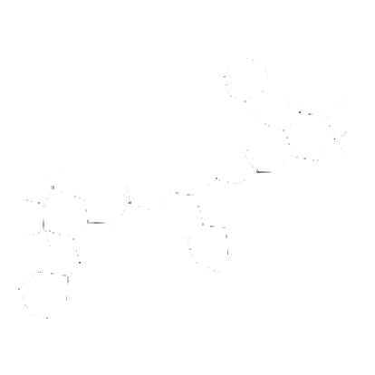 CN1C(C)(C)CC(OC(=O)CCN(CCC(=O)OC2CC(C)(C)N(C)C(C)(C)C2CC2CCCCC2)C2CCCCC2)C(CC2CCCCC2)C1(C)C